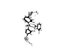 Nc1ccc(S(=O)(=O)c2ccc(N)cc2)cc1.c1ccccc1